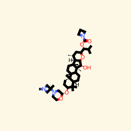 CC(C)[C@@H](OC(=O)N1CCC1)C1C[C@@H](C)[C@H]2C(O1)[C@H](O)[C@@]1(C)C3CC[C@H]4C(C)(C)[C@@H](O[C@H]5CN(C6(C)CN(C)C6)CCO5)CC[C@@]45C[C@@]35CC[C@]21C